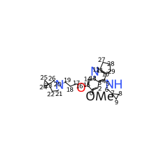 COc1cc2c(NCC3CC3)c3c(nc2cc1OCCCN1CCC2(CC2)C1)CCC3